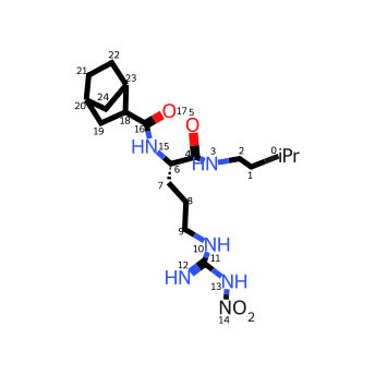 CC(C)CCNC(=O)[C@H](CCCNC(=N)N[N+](=O)[O-])NC(=O)C1CC2CCC1C2